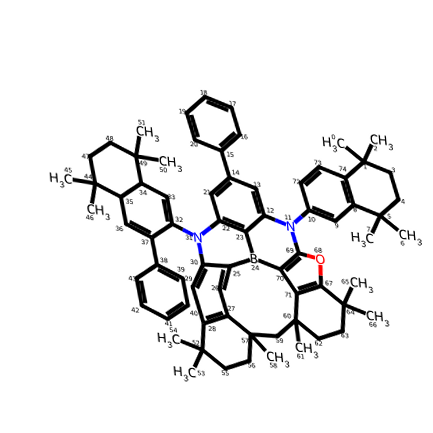 CC1(C)CCC(C)(C)c2cc(N3c4cc(-c5ccccc5)cc5c4B4c6cc7c(cc6N5C5=CC6C(C=C5c5ccccc5)C(C)(C)CCC6(C)C)C(C)(C)CCC7(C)CC5(C)CCC(C)(C)c6oc3c4c65)ccc21